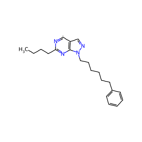 CCCCc1n[c]c2cnn(CCCCCCc3ccccc3)c2n1